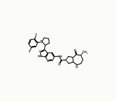 CN1CCNC2CN(C(=O)Nc3cnc4[nH]nc(N5CCC[C@@H]5c5cc(F)ccc5F)c4c3)CC2C1=O